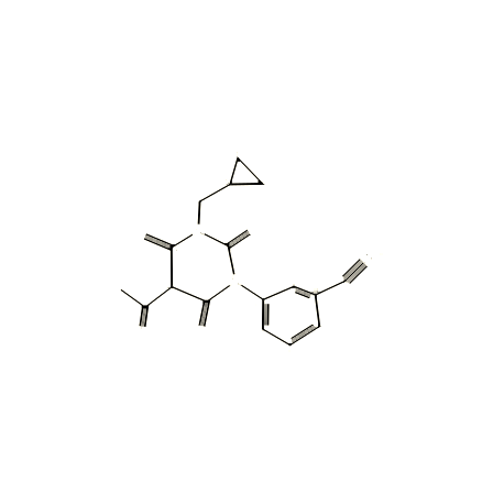 CC(=O)C1C(=O)N(CC2CC2)C(=O)N(c2cccc(C#N)c2)C1=O